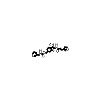 N#Cc1c(NC(=O)C=Cc2ccoc2)sc2c1CCC(COC(=O)NCc1cccnc1)C2